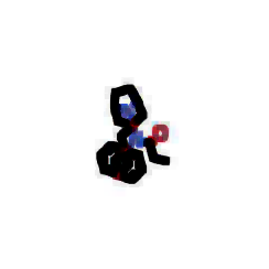 CCC(=O)N(c1ccccc1)C1CC2CCC(C1)N2CCc1ccccc1